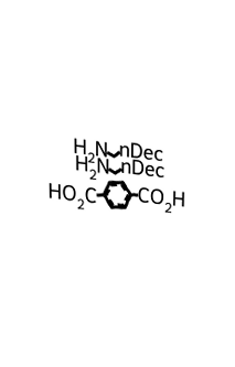 CCCCCCCCCCCN.CCCCCCCCCCCN.O=C(O)c1ccc(C(=O)O)cc1